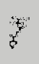 CC(C)(SC(=O)OCOC(=O)C1CCCCC1)[C@@H](N)C(=O)O